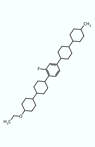 CCOC1CCC(C2CCC(c3ccc(C4CCC(C5CCC(C)CC5)CC4)cc3F)CC2)CC1